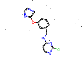 Clc1nccc(NCc2cccc(Oc3cnccn3)c2)n1